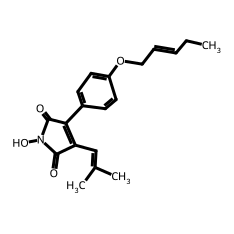 CCC=CCOc1ccc(C2=C(C=C(C)C)C(=O)N(O)C2=O)cc1